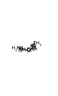 Cc1cnc(Nc2ccc(CC[C@H]3COC(N)=N3)cc2)nc1